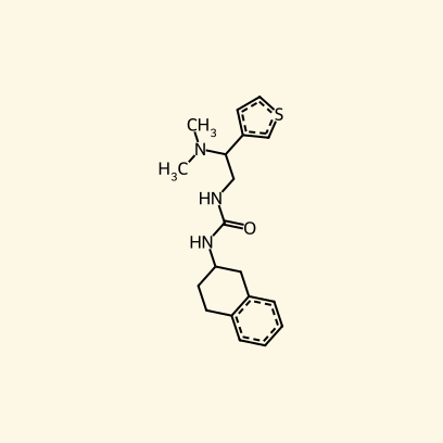 CN(C)C(CNC(=O)NC1CCc2ccccc2C1)c1ccsc1